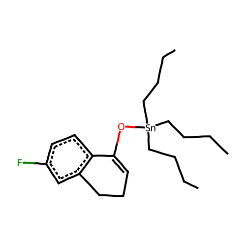 CCC[CH2][Sn]([CH2]CCC)([CH2]CCC)[O]C1=CCCc2cc(F)ccc21